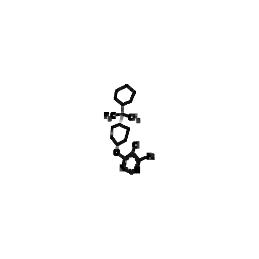 CCc1ncnc(O[C@H]2CC[C@@H](C(C3CCCCC3)(C(F)(F)F)C(F)(F)F)CC2)c1Cl